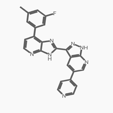 Cc1cc(F)cc(-c2ccnc3[nH]c(-c4n[nH]c5ncc(-c6ccncc6)cc45)nc23)c1